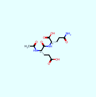 CC(=O)N[C@@H](CCC(=O)O)C(=O)N[C@@H](CCC(N)=O)C(=O)O